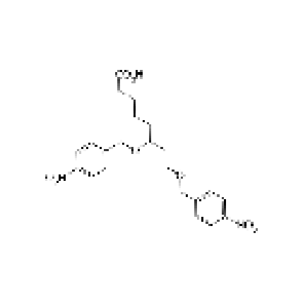 O=C(O)CCCCC(CCOCc1ccc([N+](=O)[O-])cc1)OCc1ccc([N+](=O)[O-])cc1